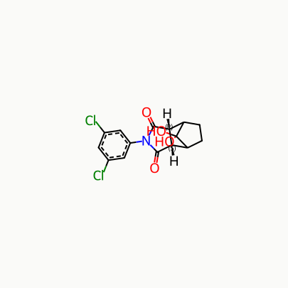 O=C1[C@@H]2C3CCC([C@@H]2C(=O)N1c1cc(Cl)cc(Cl)c1)C3(O)O